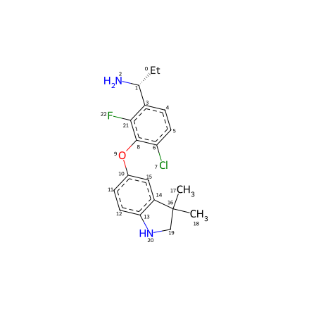 CC[C@@H](N)c1ccc(Cl)c(Oc2ccc3c(c2)C(C)(C)CN3)c1F